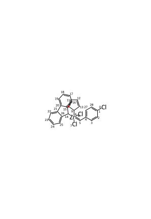 Clc1ccc([CH]=[Zr]([Cl])([Cl])([CH]2C=CC=C2)[CH]2c3ccccc3-c3ccccc32)cc1